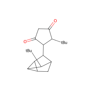 CC(C)(C)C1C(=O)CC(=O)C1C1C2CC3C1C3C2C(C)(C)C